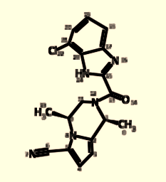 C[C@H]1c2ccc(C#N)n2[C@@H](C)CN1C(=O)c1nc2cccc(Cl)c2[nH]1